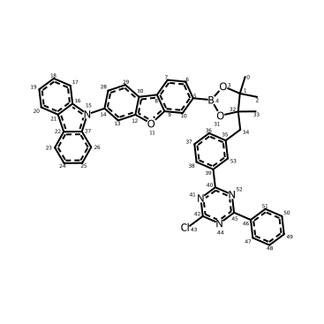 CC1(C)OB(c2ccc3c(c2)oc2cc(-n4c5ccccc5c5ccccc54)ccc23)OC1(C)Cc1cccc(-c2nc(Cl)nc(-c3ccccc3)n2)c1